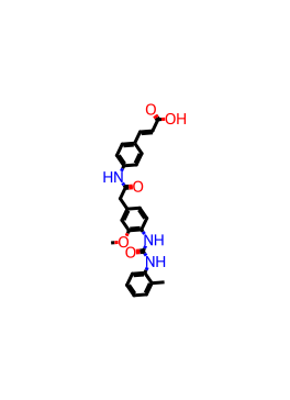 COc1cc(CC(=O)Nc2ccc(C=CC(=O)O)cc2)ccc1NC(=O)Nc1ccccc1C